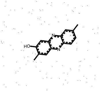 Cc1ccc2nc3cc(C)c(O)cc3nc2c1